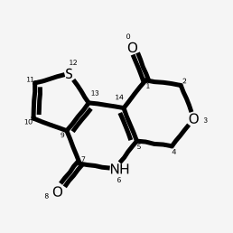 O=C1COCc2[nH]c(=O)c3ccsc3c21